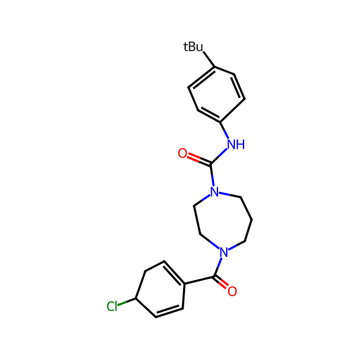 CC(C)(C)c1ccc(NC(=O)N2CCCN(C(=O)C3=CCC(Cl)C=C3)CC2)cc1